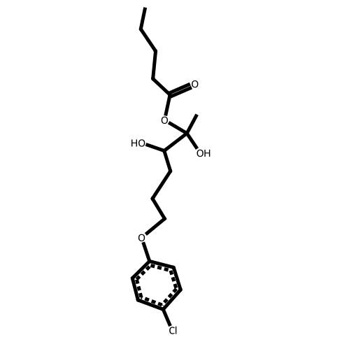 CCCCC(=O)OC(C)(O)C(O)CCCOc1ccc(Cl)cc1